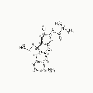 CN(C)C(=O)Oc1cc2oc(=O)c(Cc3cccc(N)c3)c(CCO)c2cc1Cl